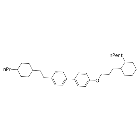 CCCCCC1CCCCC1CCCOc1ccc(-c2ccc(CCC3CCC(CCC)CC3)cc2)cc1